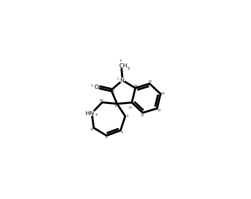 CN1C(=O)C2(CC=CCNC2)c2ccccc21